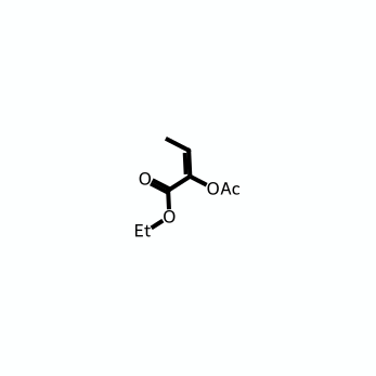 CC=C(OC(C)=O)C(=O)OCC